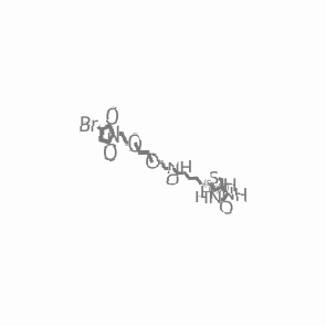 O=C(CCCC[C@@H]1SC[C@@H]2NC(=O)N[C@@H]21)NCCOCCOCCN1C(=O)C=C(Br)C1=O